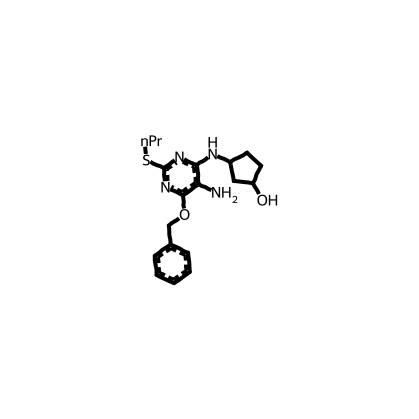 CCCSc1nc(NC2CCC(O)C2)c(N)c(OCc2ccccc2)n1